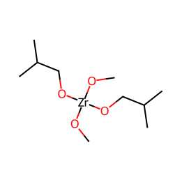 C[O][Zr]([O]C)([O]CC(C)C)[O]CC(C)C